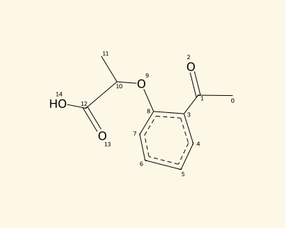 CC(=O)c1ccccc1OC(C)C(=O)O